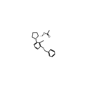 CC(=O)OC[C@H]1CCCN1c1cccc(SCc2ccccc2)c1C